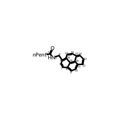 CCCCCC(=O)NCc1ccc2ccc3cccc4ccc1c2c34